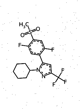 CS(=O)(=O)c1cc(F)c(-c2cc(C(F)(F)F)nn2C2CCCCC2)cc1F